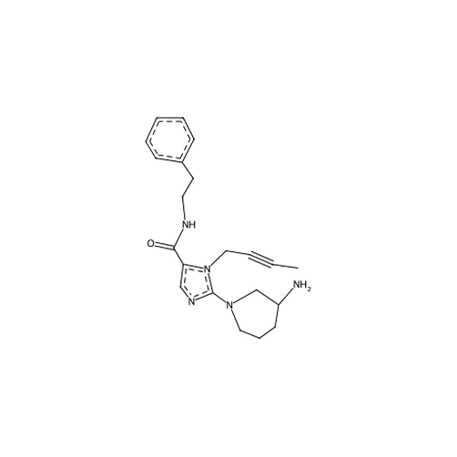 CC#CCn1c(C(=O)NCCc2ccccc2)cnc1N1CCCC(N)C1